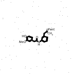 CCCCCC(C)Cc1cccc(NC(=O)Cc2ccc(O)c(OC)c2)c1